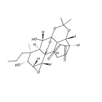 C=C1C(=O)[C@@]23[C@@H]4OC(C)(C)OC25OC[C@]2([C@@H]6O[C@@H]6[C@H](O)[C@@](C)(CCC)[C@H]2[C@@H]5O)[C@@H]3CC[C@@H]14